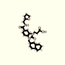 O=C(O)CCn1c(=O)n(Cc2ccc3ccccc3c2)c2ccc(C(=O)NCC3CCCO3)cc21